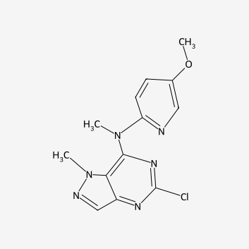 COc1ccc(N(C)c2nc(Cl)nc3cnn(C)c23)nc1